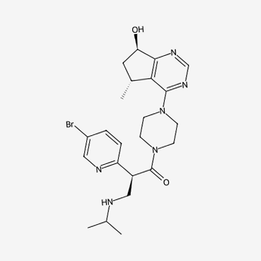 CC(C)NC[C@H](C(=O)N1CCN(c2ncnc3c2[C@H](C)C[C@H]3O)CC1)c1ccc(Br)cn1